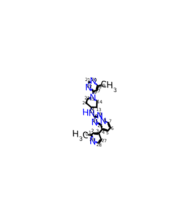 Cc1cc(-c2cccn3nc(NC4CCN(c5cc(C)ncn5)CC4)nc23)ccn1